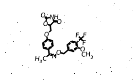 COc1cc(CON=C(C)c2ccc(OCC3OC(=O)NC3=O)cc2)ccc1C(F)(F)F